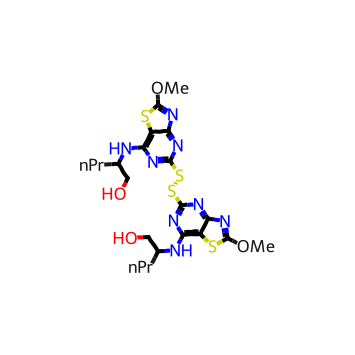 CCCC(CO)Nc1nc(SSc2nc(NC(CO)CCC)c3sc(OC)nc3n2)nc2nc(OC)sc12